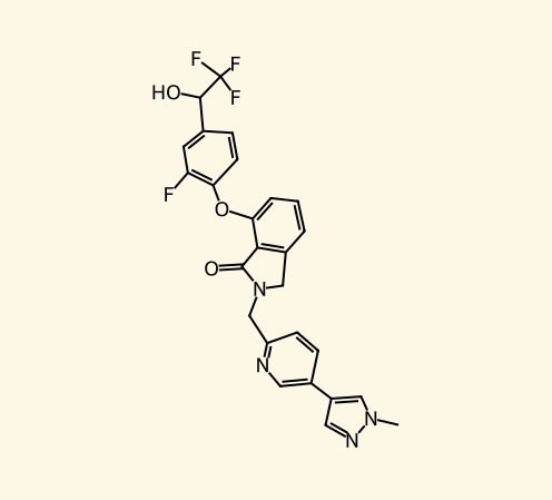 Cn1cc(-c2ccc(CN3Cc4cccc(Oc5ccc(C(O)C(F)(F)F)cc5F)c4C3=O)nc2)cn1